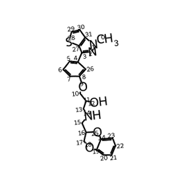 Cn1nc(-c2cccc(OCC(O)CNCC3COc4ccccc4O3)c2)c2sccc21